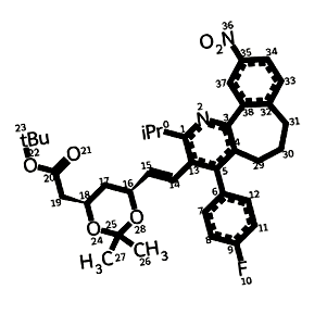 CC(C)c1nc2c(c(-c3ccc(F)cc3)c1/C=C/[C@@H]1C[C@H](CC(=O)OC(C)(C)C)OC(C)(C)O1)CCCc1ccc([N+](=O)[O-])cc1-2